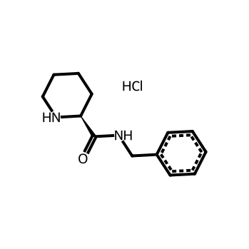 Cl.O=C(NCc1ccccc1)[C@@H]1CCCCN1